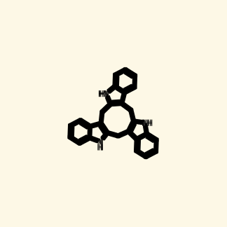 c1ccc2c3c([nH]c2c1)Cc1c([nH]c2ccccc12)Cc1c([nH]c2ccccc12)C3